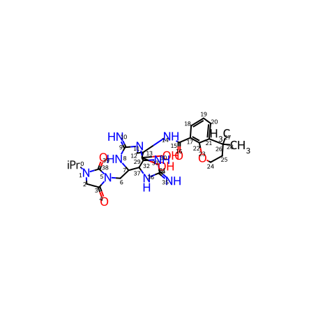 CC(C)N1CC(=O)N(CC2NC(=N)N3CC(NC(=O)c4cccc5c4OCCC5(C)C)C(O)(O)C34NC(=N)NC24)C1=O